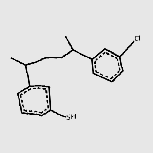 CC(CCC(C)c1cccc(Cl)c1)c1cccc(S)c1